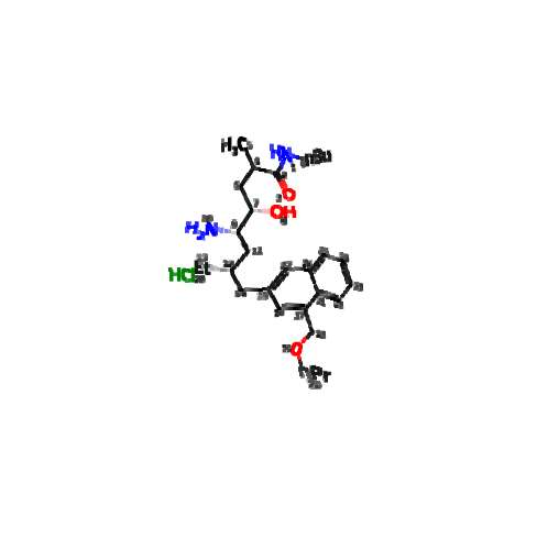 CCCCNC(=O)C(C)C[C@H](O)[C@@H](N)C[C@@H](CC)Cc1cc(COCCC)c2ccccc2c1.Cl